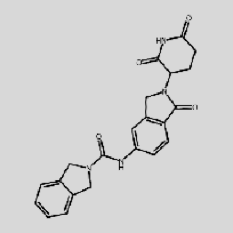 O=C1CCC(N2Cc3cc(NC(=O)N4Cc5ccccc5C4)ccc3C2=O)C(=O)N1